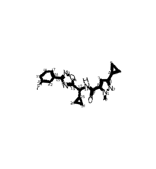 Cn1nc(C2CC2)cc1C(=O)NC(c1nc(-c2cccc(F)c2)no1)C1CC1